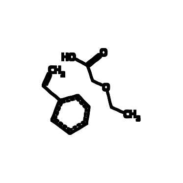 C=Cc1ccccc1.CCOCC(=O)O